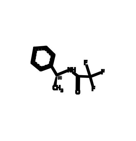 C[C@@H](NC(=O)C(F)(F)F)c1ccccc1